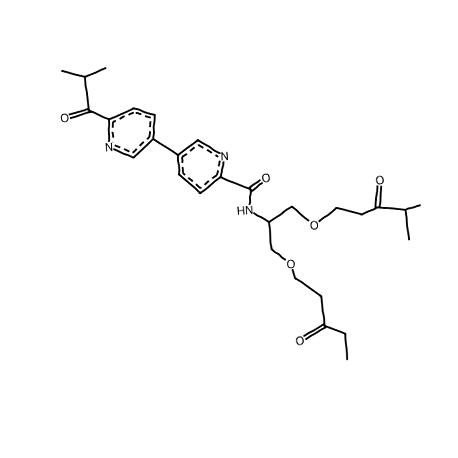 CCC(=O)CCOCC(COCCC(=O)C(C)C)NC(=O)c1ccc(-c2ccc(C(=O)C(C)C)nc2)cn1